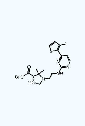 CC1(C)C(C(=O)C=O)NCN1CCNc1nccc(-c2sccc2I)n1